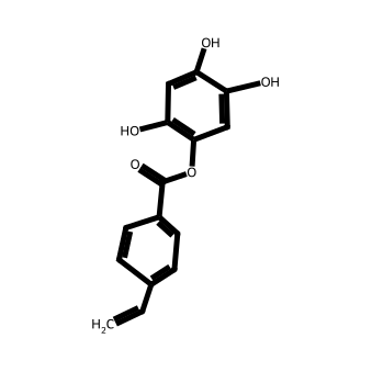 C=Cc1ccc(C(=O)Oc2cc(O)c(O)cc2O)cc1